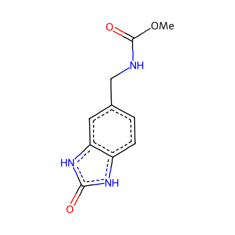 COC(=O)NCc1ccc2[nH]c(=O)[nH]c2c1